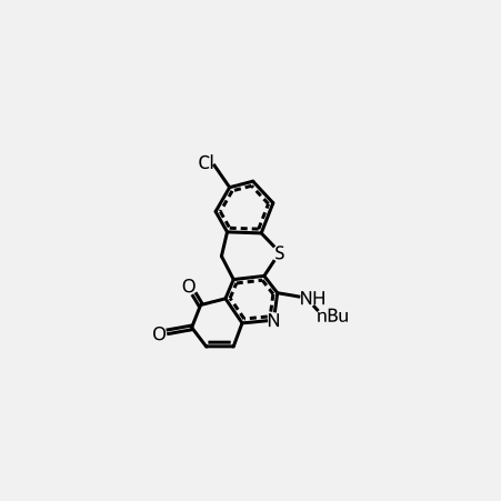 CCCCNc1nc2c(c3c1Sc1ccc(Cl)cc1C3)C(=O)C(=O)C=C2